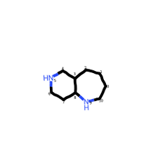 C1CCC2CNCCC2NC1